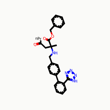 CCCC(=O)CC(C)(NCc1ccc(-c2ccccc2-c2nnn[nH]2)cc1)C(=O)OCc1ccccc1